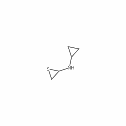 C1CC1NC1CS1